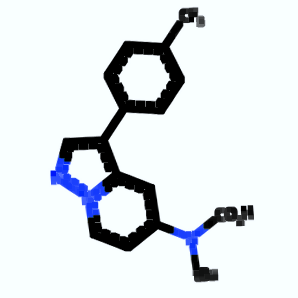 CC(C)(C)N(C(=O)O)c1ccn2ncc(-c3ccc(C(F)(F)F)cc3)c2c1